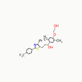 Cc1cc(C(O)CCc2sc(-c3ccc(C(F)(F)F)cc3)nc2C(C)C)c(C)cc1OCCO